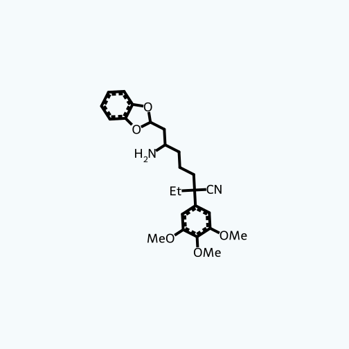 CCC(C#N)(CCCC(N)CC1Oc2ccccc2O1)c1cc(OC)c(OC)c(OC)c1